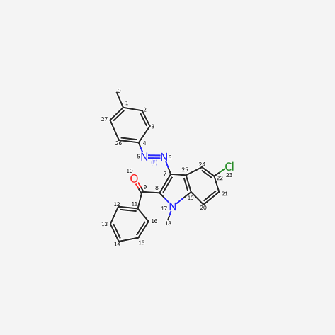 Cc1ccc(/N=N/c2c(C(=O)c3ccccc3)n(C)c3ccc(Cl)cc23)cc1